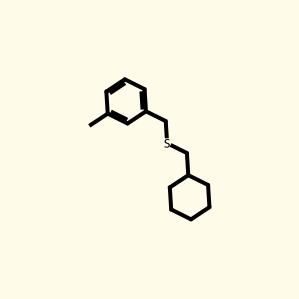 Cc1cccc(CSCC2CCCCC2)c1